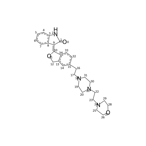 O=C1Nc2ccccc2/C1=C1\OCc2cc(CCN3CCN(CCN4CCOCC4)CC3)ccc21